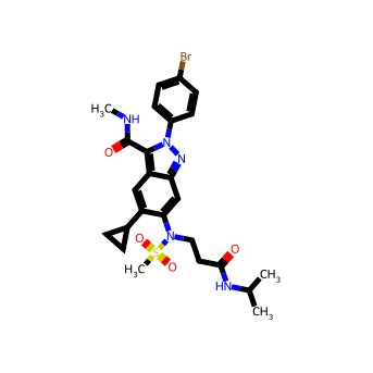 CNC(=O)c1c2cc(C3CC3)c(N(CCC(=O)NC(C)C)S(C)(=O)=O)cc2nn1-c1ccc(Br)cc1